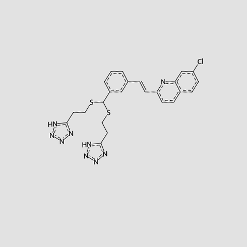 Clc1ccc2ccc(C=Cc3cccc(C(SCCc4nnn[nH]4)SCCc4nnn[nH]4)c3)nc2c1